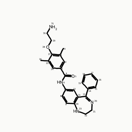 Cc1cc(C(=O)Nc2ccc3c(c2)C(c2ccccc2)=NCCN3)cc(C)c1OCCN